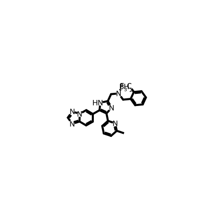 BN(Cc1nc(-c2cccc(C)n2)c(-c2ccc3ncnn3c2)[nH]1)Cc1ccccc1C(F)(F)F